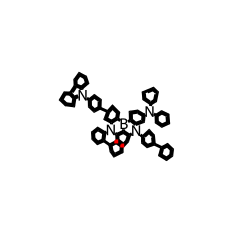 c1ccc(-c2ccc(N3c4cc(N(c5ccccc5)c5ccccc5)ccc4B4c5ccc(-c6ccc(-n7c8ccccc8c8ccccc87)cc6)cc5N(c5ccccc5-c5ccccc5)c5cccc3c54)cc2)cc1